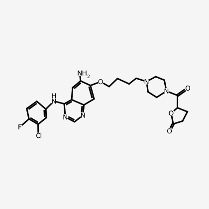 Nc1cc2c(Nc3ccc(F)c(Cl)c3)ncnc2cc1OCCCCN1CCN(C(=O)C2CCC(=O)O2)CC1